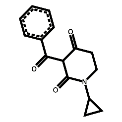 O=C1CCN(C2CC2)C(=O)C1C(=O)c1ccccc1